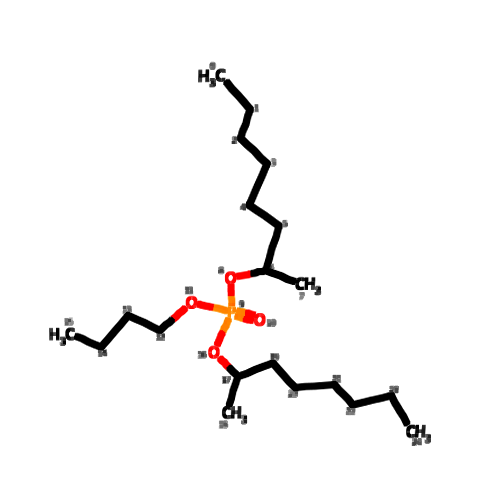 CCCCCCC(C)OP(=O)(OCCCC)OC(C)CCCCCC